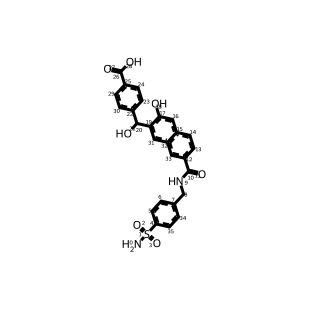 NS(=O)(=O)c1ccc(CNC(=O)c2ccc3cc(O)c(C(O)c4ccc(C(=O)O)cc4)cc3c2)cc1